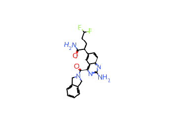 NC(=O)C(CCC(F)F)c1ccc2nc(N)nc(C(=O)N3Cc4ccccc4C3)c2c1